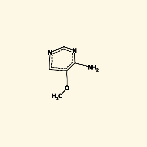 COc1cncnc1N